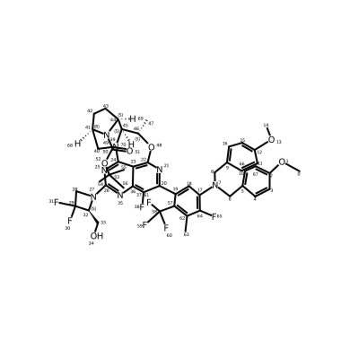 COc1ccc(CN(Cc2ccc(OC)cc2)c2cc(-c3nc4c5c(nc(N6CC(F)(F)[C@@H]6CO)nc5c3F)N3C[C@H]5CC[C@@H]([C@H]3[C@H](C)O4)N5C(=O)OC(C)(C)C)c(C(F)(F)F)c(C)c2F)cc1